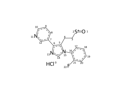 Cl.O=[S+]CCc1c(-c2cccnc2)ncn1-c1ccccc1F